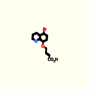 O=C(O)C=CCOc1ccc(Br)c2cccnc12